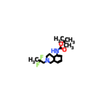 CC(F)(F)CN1CCc2c(cccc2NC(=O)OC(C)(C)C)C1